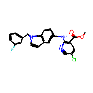 COC(=O)c1cc(Cl)cnc1Nc1ccc2c(ccn2Cc2cccc(F)c2)c1